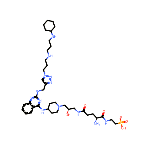 N[C@@H](CCC(=O)NC[C@@H](O)CN1CCC(Nc2nc(NCc3cn(CCCNCCCNC4CCCCC4)nn3)nc3ccccc23)CC1)C(=O)NCCP(=O)(O)O